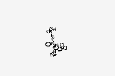 O=C(O)CCOCCN(c1cc(-n2ccnc2)c2ccc(Cl)c(Cl)c2n1)C1CCCCC1